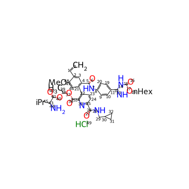 C=Cc1cc(C(=O)Nc2ccc(C(=N)NC(=O)OCCCCCC)cc2)c(-c2ccc(C(=O)NCC3CC3)nc2C(=O)OC(C)OC(=O)C(N)C(C)C)cc1OC.Cl